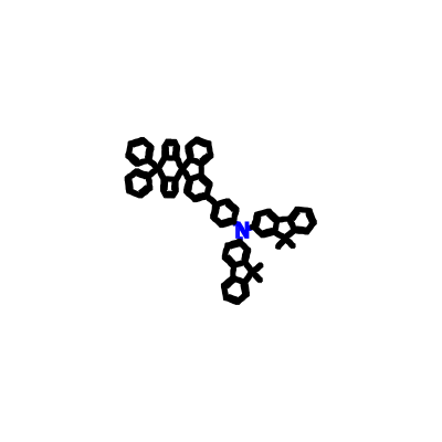 CC1(C)c2ccccc2-c2ccc(N(c3ccc(-c4ccc5c(c4)-c4ccccc4C54c5ccccc5C(c5ccccc5)(c5ccccc5)c5ccccc54)cc3)c3ccc4c(c3)C(C)(C)c3ccccc3-4)cc21